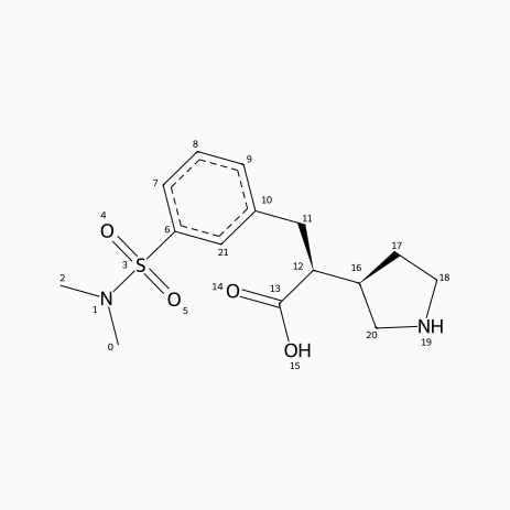 CN(C)S(=O)(=O)c1cccc(C[C@H](C(=O)O)[C@H]2CCNC2)c1